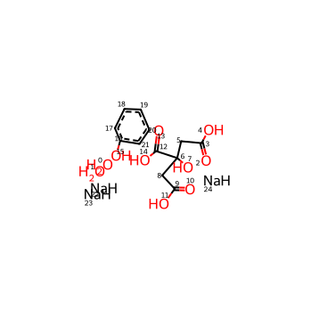 O.O.O=C(O)CC(O)(CC(=O)O)C(=O)O.Oc1ccccc1.[NaH].[NaH].[NaH]